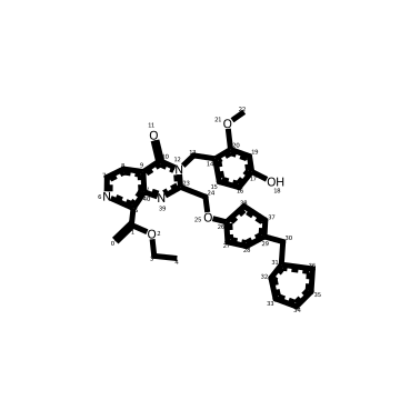 C=C(OCC)c1nccc2c(=O)n(Cc3ccc(O)cc3OC)c(COc3ccc(Cc4ccccc4)cc3)nc12